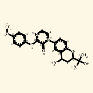 CC1CC(C(C)(C)O)Oc2ccc(-n3ccnc(Sc4ccc(OC(F)(F)F)cc4)c3=O)cc21